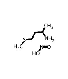 CSCCC(C)N.O=NO